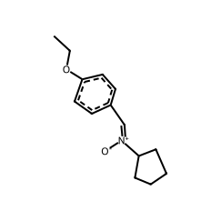 CCOc1ccc(C=[N+]([O-])C2CCCC2)cc1